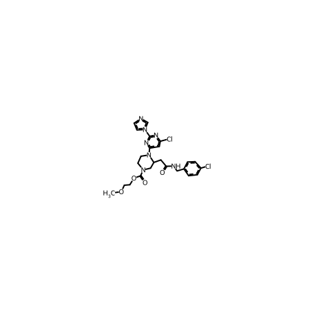 COCCOC(=O)N1CCN(c2cc(Cl)nc(-n3ccnc3)n2)C(CC(=O)NCc2ccc(Cl)cc2)C1